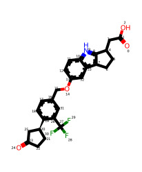 O=C(O)CC1CCc2c1[nH]c1ccc(OCc3ccc([C@H]4CCC(=O)C4)c(C(F)(F)F)c3)cc21